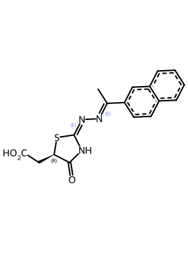 C/C(=N\N=C1/NC(=O)[C@@H](CC(=O)O)S1)c1ccc2ccccc2c1